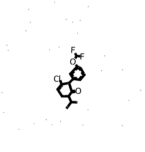 CC(C)C1CC=C(Cl)C(c2cccc(OC(F)F)c2)C1=O